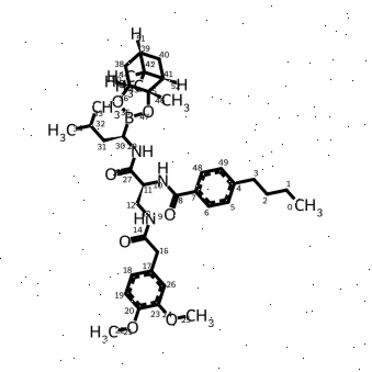 CCCCc1ccc(C(=O)N[C@@H](CNC(=O)Cc2ccc(OC)c(OC)c2)C(=O)N[C@@H](CC(C)C)B2O[C@@H]3C[C@@H]4C[C@@H](C4(C)C)[C@]3(C)O2)cc1